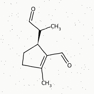 CC1=C(C=O)[C@H](C(C)C=O)CC1